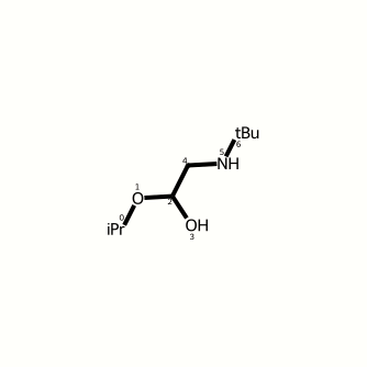 CC(C)OC(O)CNC(C)(C)C